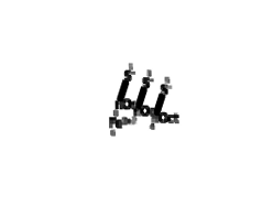 CCCCCCCC[S-].CCCCCCCC[S-].CCCCCCCC[S-].[Fe+3]